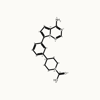 Nc1ncnn2c(-c3cccc(C4CCN(C(=O)O)CC4)c3)ccc12